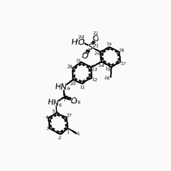 Cc1cccc(NC(=O)Nc2ccc(-c3c(C)cccc3S(=O)(=O)O)cc2)c1